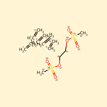 C=C.C=C.C=C.C=C.C=C.CS(=O)(=O)OCCOS(C)(=O)=O